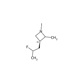 CC(F)C[C@H]1CN(I)C1C